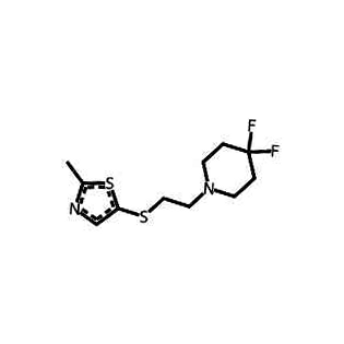 Cc1ncc(SCCN2CCC(F)(F)CC2)s1